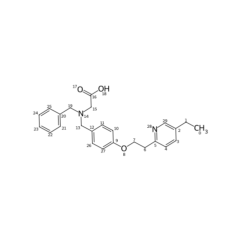 CCc1ccc(CCOc2ccc(CN(CC(=O)O)Cc3ccccc3)cc2)nc1